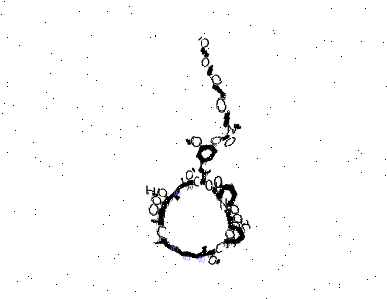 COCCOCCOCCOCCN(C)C(=O)O[C@@H]1CC[C@@H](C[C@@H](C)[C@@H]2C[C@@H](OC)[C@H](C)/C=C(\C)[C@@H](O)[C@@H](OC)C(=O)[C@H](C)C[C@H](C)/C=C/C=C/C=C(\C)[C@@H](OC)C[C@@H]3CC[C@@H](C)[C@@](O)(O3)C(=O)C(=O)N3CCCC[C@H]3C(=O)O2)C[C@H]1OC